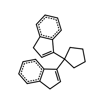 C1=C(C2(C3=CCc4ccccc43)CCCC2)c2ccccc2C1